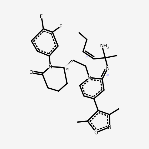 CC/C=C\C(C)(N)/N=c1/cc(-c2c(C)noc2C)ccn1CC[C@@H]1CCCC(=O)N1c1ccc(F)c(F)c1